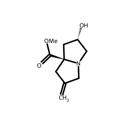 C=C1CN2C[C@@H](O)C[C@@]2(C(=O)OC)C1